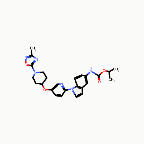 Cc1noc(N2CCC(Oc3ccc(-n4ccc5cc(NC(=O)OC(C)C)ccc54)nc3)CC2)n1